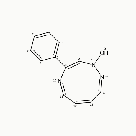 On1cc(-c2ccccc2)nccccn1